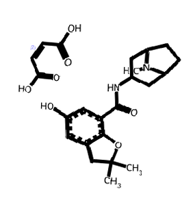 CN1C2CCC1CC(NC(=O)c1cc(O)cc3c1OC(C)(C)C3)C2.O=C(O)/C=C\C(=O)O